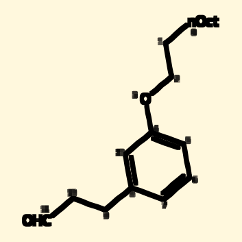 CCCCCCCCCCOc1cccc(CCC=O)c1